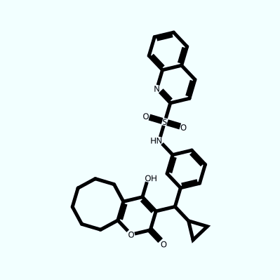 O=c1oc2c(c(O)c1C(c1cccc(NS(=O)(=O)c3ccc4ccccc4n3)c1)C1CC1)CCCCCC2